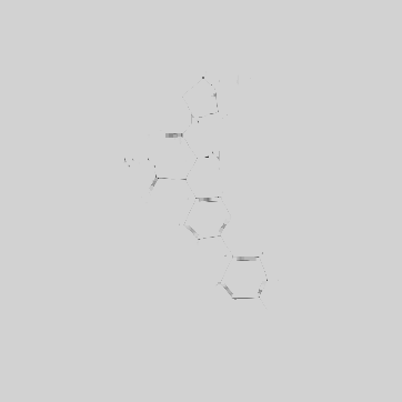 CNC(=O)C(c1ccc(-c2ccc(F)cc2)cc1)[C@H](N)C(=O)N1CC[C@H](F)C1